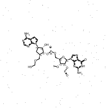 CO[C@H]1[C@@H](OP=O)[C@H](n2cnc3c(=O)[nH]c(N)nc32)O[C@@H]1CO[PH](=O)O[C@@H]1[C@@H](COCS)C[C@@H](n2ccc3c(N)ncnc32)[C@@H]1O